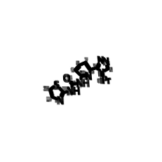 CC(C)n1cnnc1-c1cccc(NC(=O)Nc2nccs2)n1